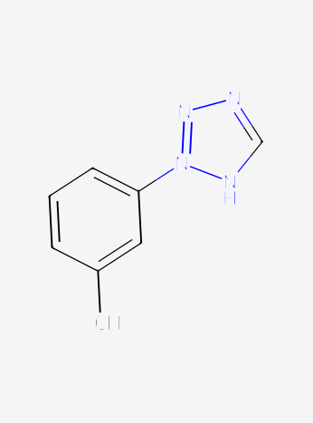 Cc1cccc(-[n+]2nnc[nH]2)c1